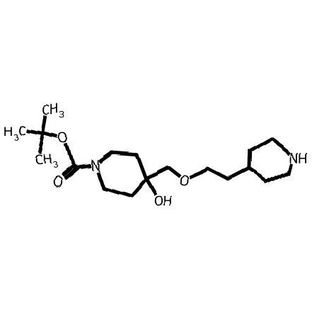 CC(C)(C)OC(=O)N1CCC(O)(COCCC2CCNCC2)CC1